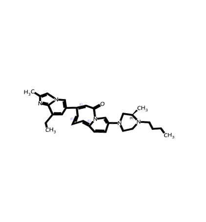 CCCCN1CCN(C2=CN3C(=O)\C=C(c4cc(CC)c5nc(C)cn5c4)/C=C/C=C/3C=C2)C[C@H]1C